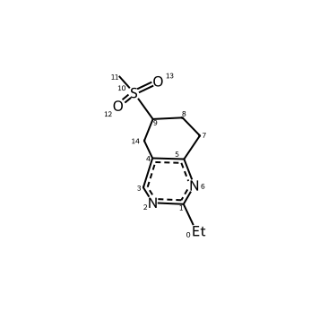 CCc1ncc2c(n1)CCC(S(C)(=O)=O)C2